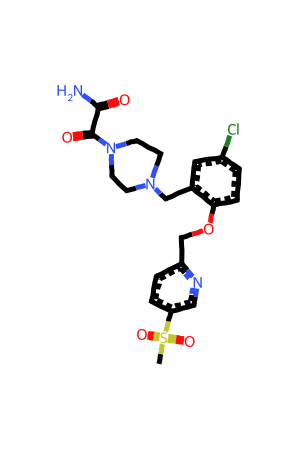 CS(=O)(=O)c1ccc(COc2ccc(Cl)cc2CN2CCN(C(=O)C(N)=O)CC2)nc1